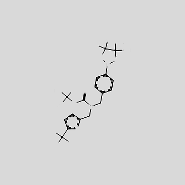 CC(C)(C)OC(=O)N(Cc1ccc(B2OC(C)(C)C(C)(C)O2)cc1)Cc1ccc(C(F)(F)F)o1